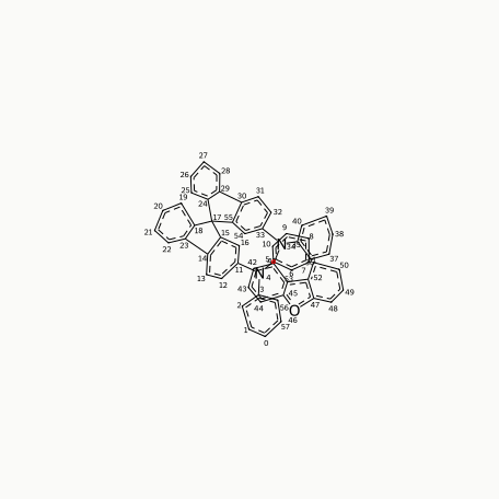 c1ccc(N(c2ccccc2)c2ccc3c(c2)C2(c4ccccc4-3)c3ccccc3-c3ccc(N(c4ccccc4)c4cccc5oc6ccccc6c45)cc32)cc1